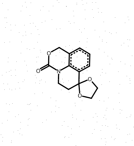 O=C1OCc2cccc3c2N1CCC31OCCO1